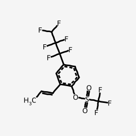 CC=Cc1cc(C(F)(F)C(F)(F)C(F)F)ccc1OS(=O)(=O)C(F)(F)F